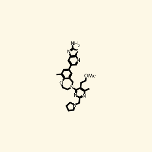 COCCc1c(C)nc(CN2CCCC2)nc1N1CCOc2c(C)cc(-c3cnc4sc(N)nc4c3)cc2C1